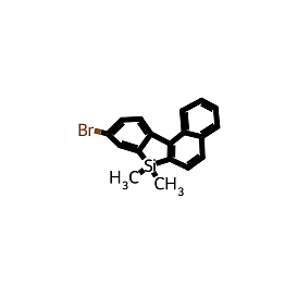 C[Si]1(C)c2cc(Br)ccc2-c2c1ccc1ccccc21